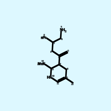 C=C(CC(CN)CCC)C1CC(C)=CNC1NC